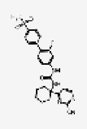 CS(=O)(=O)c1ccc(-c2ccc(NC(=O)NC3(c4ccnc(C#N)n4)CCCCC3)cc2F)cc1